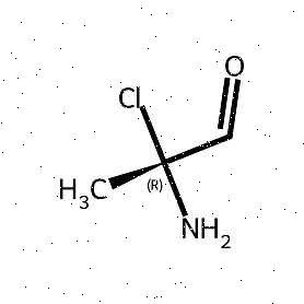 C[C@@](N)(Cl)C=O